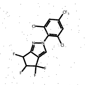 FC1c2nn(-c3c(Cl)cc(C(F)(F)F)cc3Cl)cc2C(F)(F)C1F